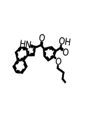 CCCCOc1ccc(C(=O)c2cc3c(ccc4ccccc43)[nH]2)cc1C(=O)O